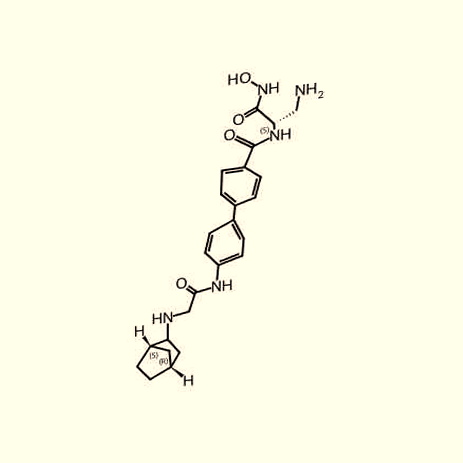 NC[C@H](NC(=O)c1ccc(-c2ccc(NC(=O)CNC3C[C@@H]4CC[C@H]3C4)cc2)cc1)C(=O)NO